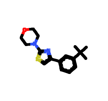 CC(C)(C)c1cccc(-c2csc(N3CCOCC3)n2)c1